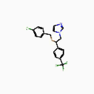 FC(F)(F)c1ccc(C(Cn2ccnc2)SCc2ccc(Cl)cc2)cc1